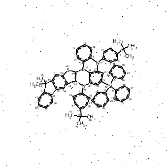 CC(C)(C)c1ccc(N2c3ccccc3B3c4c2cc([Si](c2ccccc2)(c2ccccc2)c2ccccc2)cc4N(c2ccc(C(C)(C)C)cc2)C2c4cc5c(cc4SC32)C(C)(C)c2ccccc2-5)cc1